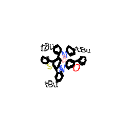 CC(C)(C)c1ccc(N2B3c4cc5c(cc4-n4c6ccc(C(C)(C)C)cc6c6c7sc8ccccc8c7c(c3c64)-c3cc(C(C)(C)C)ccc32)oc2ccccc25)cc1